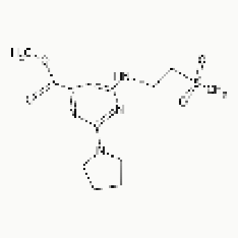 COC(=O)c1cc(NCCS(C)(=O)=O)nc(N2CCCC2)n1